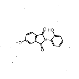 O=C1c2ccc(O)cc2C(=O)N1c1ccccc1O